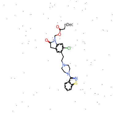 CCCCCCCCCCCC(=O)OCN1C(=O)Cc2cc(CCN3CCN(c4nsc5ccccc45)CC3)c(Cl)cc21